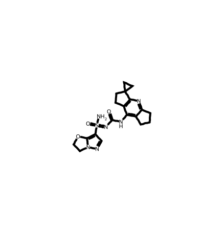 NS(=O)(=NC(=O)Nc1c2c(nc3c1CCC31CC1)CCC2)c1cnn2c1OCC2